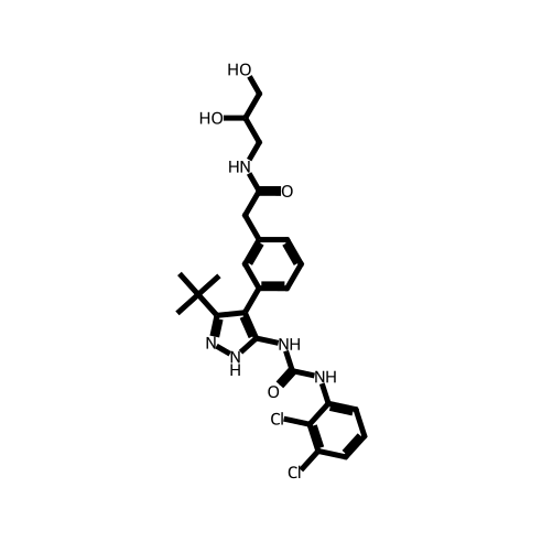 CC(C)(C)c1n[nH]c(NC(=O)Nc2cccc(Cl)c2Cl)c1-c1cccc(CC(=O)NCC(O)CO)c1